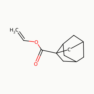 C=COC(=O)C12CC3CC(CC1C3)C2